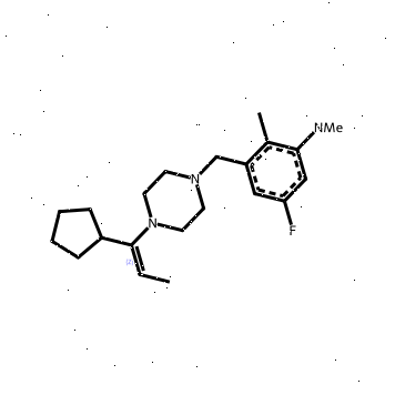 C/C=C(/C1CCCC1)N1CCN(Cc2cc(F)cc(NC)c2C)CC1